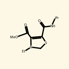 CCN1CSC(C(=O)NC(C)C)=C1C(=O)OC